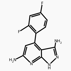 Nc1cc(-c2ccc(F)cc2F)c2c(N)n[nH]c2n1